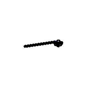 CCCCCCCCCCCCCCCCCCCCCCC/C=C\OC(CC)C(=O)OC(C)(C)C